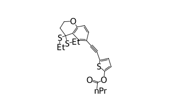 CCCC(=O)Oc1ccc(C#Cc2ccc3c(c2)C(SCC)(SCC)CCO3)s1